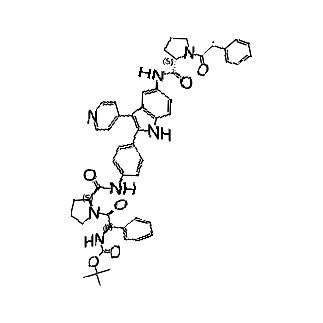 CC(C)(C)OC(=O)N[C@@H](C(=O)N1CCC[C@H]1C(=O)Nc1ccc(-c2[nH]c3ccc(NC(=O)[C@@H]4CCCN4C(=O)[CH]c4ccccc4)cc3c2-c2ccncc2)cc1)c1ccccc1